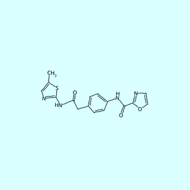 Cc1cnc(NC(=O)Cc2ccc(NC(=O)c3ncco3)cc2)s1